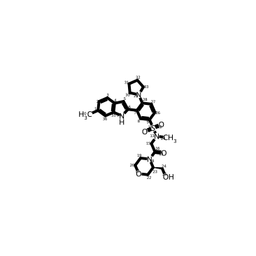 Cc1ccc2cc(-c3cc(S(=O)(=O)N(C)CC(=O)N4CCOC[C@@H]4CO)ccc3N3CCCC3)[nH]c2c1